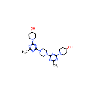 Cc1nc(N2CCC(O)CC2)nc(N2CCN(c3nc(C)nc(N4CCC(O)CC4)n3)CC2)n1